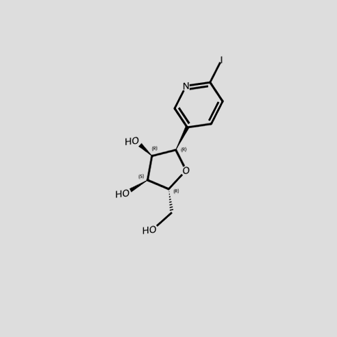 OC[C@H]1O[C@H](c2ccc(I)nc2)[C@H](O)[C@@H]1O